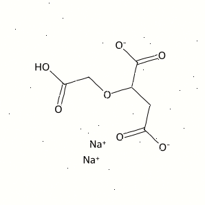 O=C([O-])CC(OCC(=O)O)C(=O)[O-].[Na+].[Na+]